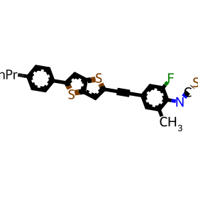 CCCc1ccc(-c2cc3sc(C#Cc4cc(C)c(N=C=S)c(F)c4)cc3s2)cc1